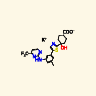 Cc1cc(Nc2nccc(C(F)(F)F)n2)cc(-c2cnc([C@]3(O)CC[C@H](C(=O)[O-])CC3)s2)c1.[K+]